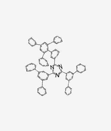 c1ccc(-c2cc(-c3ccccc3)cc(-c3nc(-c4cc(-c5ccccc5)cc(-c5ccccc5)c4)nc(-c4cccc(-c5c(-c6ccccc6)cc(-c6ccccc6)cc5-c5ccccc5)c4)n3)c2)cc1